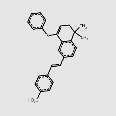 CC1(C)CC=C(Sc2ccccc2)c2cc(C=Cc3ccc(C(=O)O)cc3)ccc21